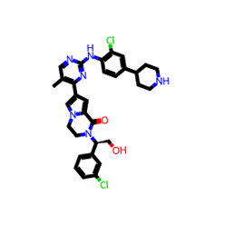 Cc1cnc(Nc2ccc(C3CCNCC3)cc2Cl)nc1-c1cc2n(c1)CCN([C@@H](CO)c1cccc(Cl)c1)C2=O